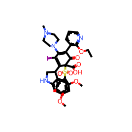 CCOc1ncccc1C1=C(N2CCN(C)CC2)C(I)=C(C2CNc3ccccc32)C(C(=O)O)(S(=O)(=O)c2ccc(OC)cc2OC)C1=O